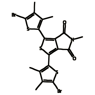 Cc1c(Br)sc(-c2sc(-c3sc(Br)c(C)c3C)c3c2C(=O)N(C)C3=O)c1C